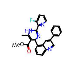 COC(=O)C1=C(C)NC(c2ncccc2F)=NC1c1cccc2ncc(-c3ccccc3)cc12